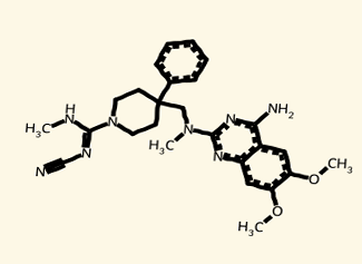 CNC(=NC#N)N1CCC(CN(C)c2nc(N)c3cc(OC)c(OC)cc3n2)(c2ccccc2)CC1